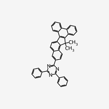 CC1(C)c2c(ccc3cc(-c4nc(-c5ccccc5)nc(-c5ccccc5)n4)ccc23)-c2c1c1ccccc1c1ccccc21